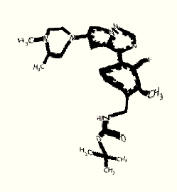 Cc1c(CNC(=O)OC(C)(C)C)ccc(-c2ncnn3cc(N4CCN(C)C(C)C4)cc23)c1F